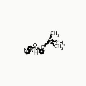 CCC[CH2][Sn]([CH]=CCCOc1ccccc1CNC(=O)c1ccc2ncccc2n1)([CH2]CCC)[CH2]CCC